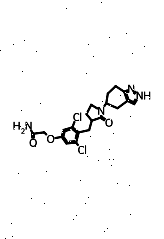 NC(=O)COc1cc(Cl)c(CC2CCN(C3CCc4n[nH]cc4C3)C2=O)c(Cl)c1